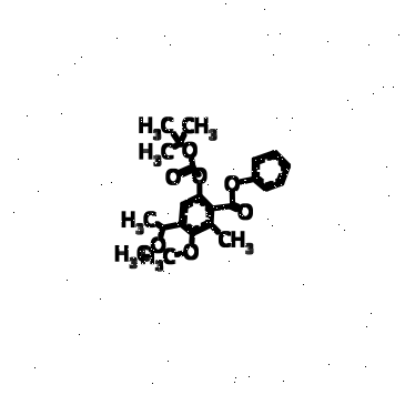 COc1c(C(C)OC)cc(OC(=O)OC(C)(C)C)c(C(=O)Oc2ccccc2)c1C